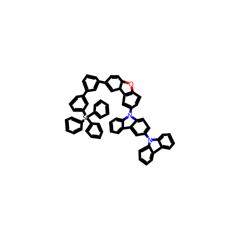 C1=CC2Oc3ccc(-n4c5ccccc5c5cc(-n6c7ccccc7c7ccccc76)ccc54)cc3C2C=C1c1cccc(-c2cccc([Si](c3ccccc3)(c3ccccc3)c3ccccc3)c2)c1